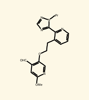 COc1cc(C=O)c(OCCc2cccnc2-c2ncnn2C(C)C)cn1